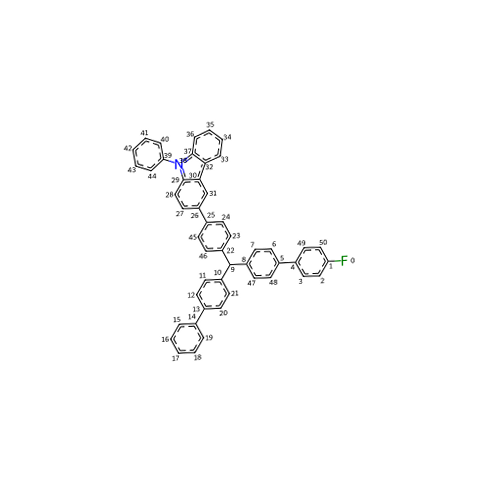 Fc1ccc(-c2ccc(C(c3ccc(-c4ccccc4)cc3)c3ccc(-c4ccc5c(c4)c4ccccc4n5-c4ccccc4)cc3)cc2)cc1